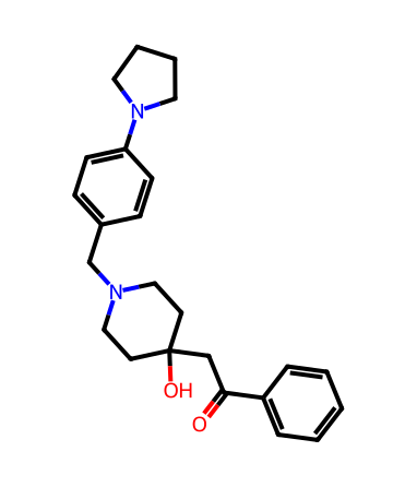 O=C(CC1(O)CCN(Cc2ccc(N3CCCC3)cc2)CC1)c1ccccc1